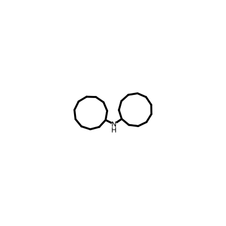 C1CCCCCC(NC2CCCCCCCCCC2)CCCC1